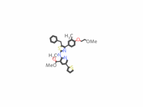 COCCOc1ccc(-c2nc(N(C)c3ncc(-c4cccs4)cc3C(=O)OC)sc2Cc2ccccc2)cc1C